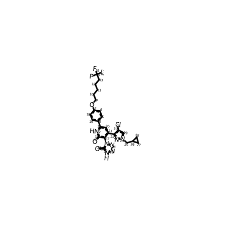 O=c1[nH]c(-c2ccc(OCCCCCC(F)(F)F)cc2)cc(-c2nn(CC3CC3)cc2Cl)c1-n1nn[nH]c1=O